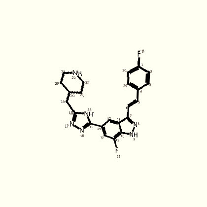 Fc1ccc(C=Cc2n[nH]c3c(F)cc(-c4nnc(CC5CCNCC5)[nH]4)cc23)cc1